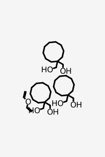 C=COC=C.OCC1(CO)CCCCCCCCC1.OCC1(CO)CCCCCCCCC1.OCC1(CO)CCCCCCCCC1